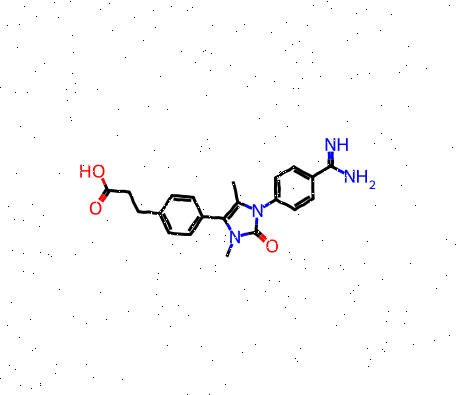 Cc1c(-c2ccc(CCC(=O)O)cc2)n(C)c(=O)n1-c1ccc(C(=N)N)cc1